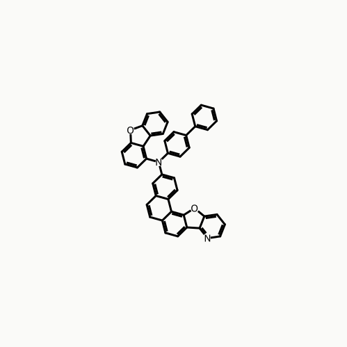 c1ccc(-c2ccc(N(c3ccc4c(ccc5ccc6c7ncccc7oc6c54)c3)c3cccc4oc5ccccc5c34)cc2)cc1